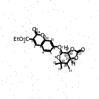 CCOC(=O)c1cc2ccc(OC3OC(C)(C)[C@H](C)[C@@H]4OC(=O)O[C@H]34)cc2oc1=O